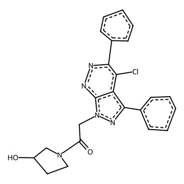 O=C(Cn1nc(-c2ccccc2)c2c(Cl)c(-c3ccccc3)nnc21)N1CCC(O)C1